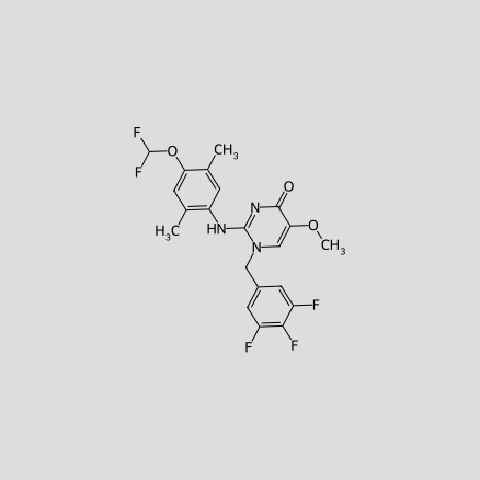 COc1cn(Cc2cc(F)c(F)c(F)c2)c(Nc2cc(C)c(OC(F)F)cc2C)nc1=O